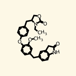 CCN1C(=O)OCC1Cc1ccc(Oc2ccc(Cc3ccc4c(c3)CC(=O)N4)cc2OC)cc1